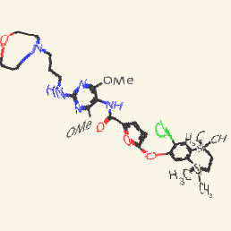 COc1nc(NCCCN2CCOCC2)nc(OC)c1NC(=O)c1ccc(Oc2cc3c(cc2Cl)[Si](C)(C)CC[Si]3(C)C)o1